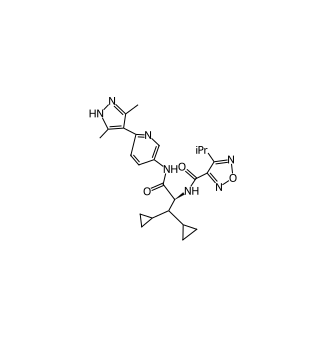 Cc1n[nH]c(C)c1-c1ccc(NC(=O)[C@@H](NC(=O)c2nonc2C(C)C)C(C2CC2)C2CC2)cn1